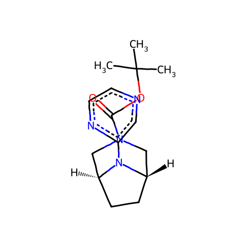 CC(C)(C)OC(=O)N1C[C@@H]2CC[C@@H](C1)N2c1cnccn1